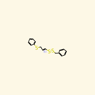 C(=C\SSCc1ccccc1)/CSc1ccccc1